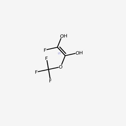 O/C(F)=C(\O)OC(F)(F)F